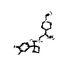 NC(CNC(=O)C1(c2ccc(F)c(F)c2)CCC1)C1CCN(C=O)CC1